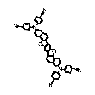 N#Cc1ccc(N(c2ccc(C#N)cc2)c2ccc3c(ccc4c5cc6oc7c8ccc(N(c9ccc(C#N)cc9)c9ccc(C#N)cc9)cc8ccc7c6cc5oc34)c2)cc1